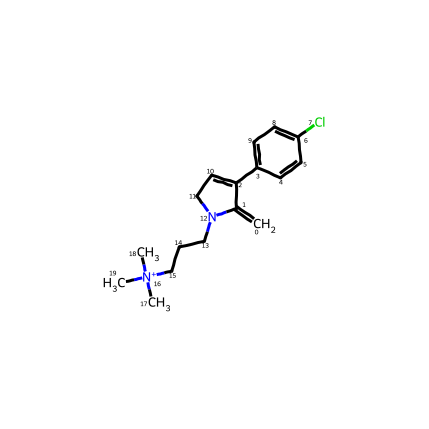 C=C1C(c2ccc(Cl)cc2)=CCN1CCC[N+](C)(C)C